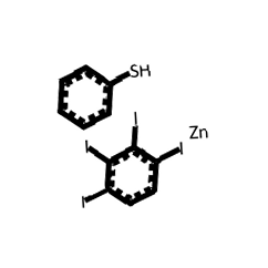 Ic1ccc(I)c(I)c1I.Sc1ccccc1.[Zn]